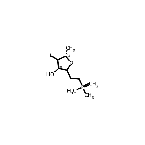 C=P(C)(C)CCC1O[C@@H](C)C(I)[C@@H]1O